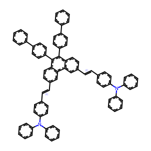 C(=C\c1ccc2c(-c3ccc(-c4ccccc4)cc3)c(-c3ccc(-c4ccccc4)cc3)c3ccc(/C=C/c4ccc(N(c5ccccc5)c5ccccc5)cc4)cc3c2c1)/c1ccc(N(c2ccccc2)c2ccccc2)cc1